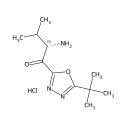 CC(C)[C@H](N)C(=O)c1nnc(C(C)(C)C)o1.Cl